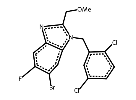 COCc1nc2cc(F)c(Br)cc2n1Cc1cc(Cl)ccc1Cl